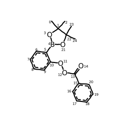 CC1(C)OB(c2ccccc2OOC(=O)c2ccccc2)OC1(C)C